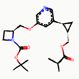 CC(C)C(=O)OC[C@H]1C[C@@H]1c1cncc(OC[C@@H]2CCN2C(=O)OC(C)(C)C)c1